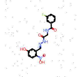 O=C(CNC(=O)c1cccc(F)c1)N/N=C/c1cc(O)ccc1[N+](=O)O